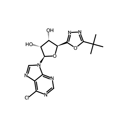 CC(C)(C)c1nnc([C@H]2O[C@@H](n3cnc4c(Cl)ncnc43)[C@H](O)[C@@H]2O)o1